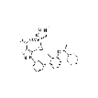 COC(=O)c1cnn(-c2cccc(-c3cccc(O[C@@H](C)C4CCCCC4)c3C)c2)c1C1CC1c1cn(C)nn1